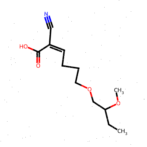 CCC(COCCCC=C(C#N)C(=O)O)OC